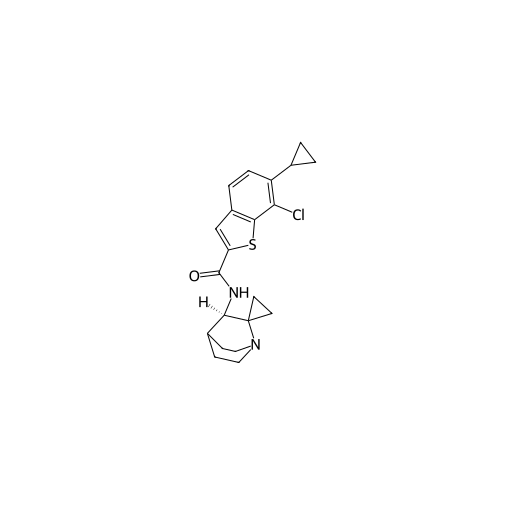 O=C(N[C@@H]1C2CCN(CC2)C12CC2)c1cc2ccc(C3CC3)c(Cl)c2s1